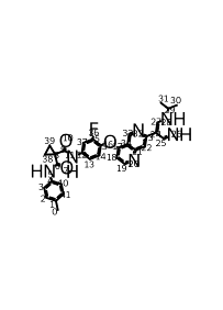 Cc1ccc(NC(=O)C2(C(=O)Nc3ccc(Oc4ccnc5cc(/C(C=N)=C/NC(C)C)ncc45)c(F)c3)CC2)cc1